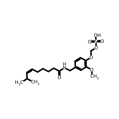 COc1cc(CNC(=O)CCCC/C=C\C(C)C)ccc1OCOS(=O)(=O)O